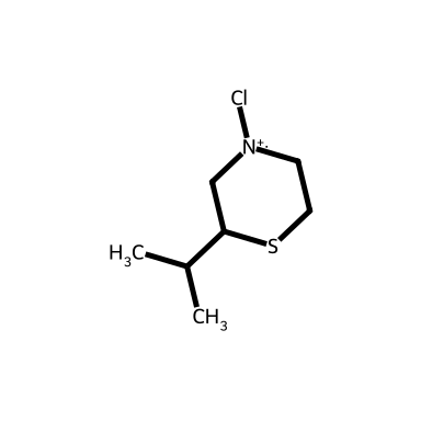 CC(C)C1C[N+](Cl)CCS1